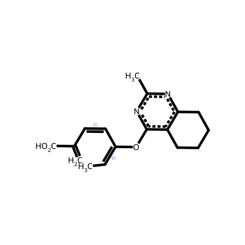 C=C(/C=C\C(=C/C)Oc1nc(C)nc2c1CCCC2)C(=O)O